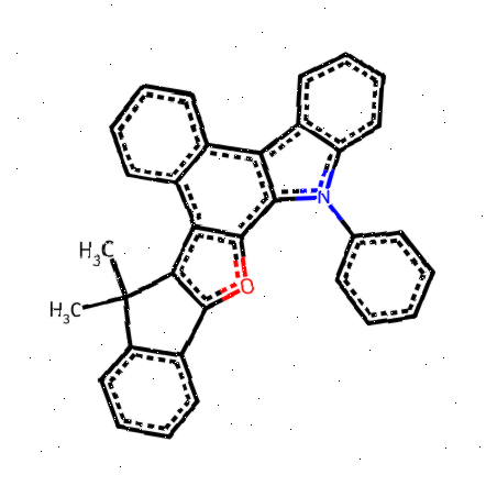 CC1(C)c2ccccc2-c2oc3c(c21)c1ccccc1c1c2ccccc2n(-c2ccccc2)c31